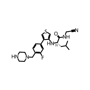 CC(C)C[C@H](Nc1cscc1-c1ccc(CN2CCNCC2)c(F)c1)C(=O)NCC#N